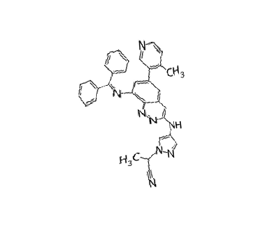 Cc1ccncc1-c1cc(N=C(c2ccccc2)c2ccccc2)c2nnc(Nc3cnn(C(C)C#N)c3)cc2c1